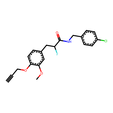 C#CCOc1ccc(CC(F)C(=O)NCc2ccc(Cl)cc2)cc1OC